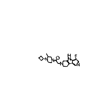 CC1CN(C(=O)CN2CCc3c([nH]c4c(F)cncc34)C2)CCN1C1CCC1